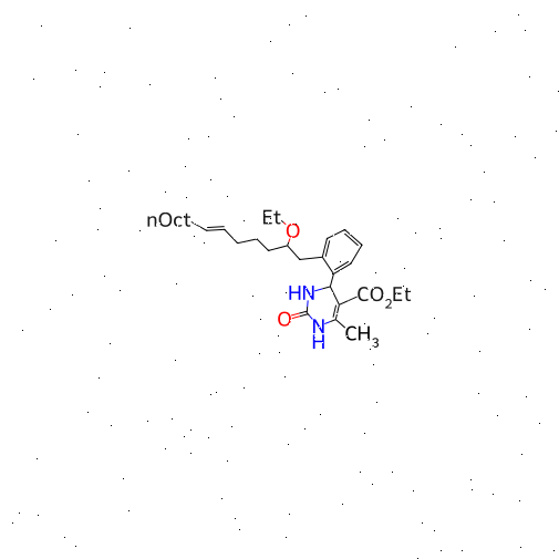 CCCCCCCCC=CCCCC(Cc1ccccc1C1NC(=O)NC(C)=C1C(=O)OCC)OCC